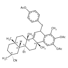 CC[C@@]12CC[C@]3(C)C(=CC(Sc4ccc(OC(C)=O)cc4)c4c3cc(OC(C)=O)c(OC(C)=O)c4C)[C@@]1(C)CC[C@@]1(C)CC[C@@](C)(C#N)C[C@H]12